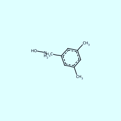 Cc1cc(C)cc(C)c1.NO